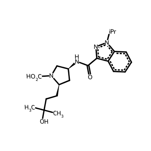 CC(C)n1nc(C(=O)N[C@H]2C[C@@H](CCC(C)(C)O)N(C(=O)O)C2)c2ccccc21